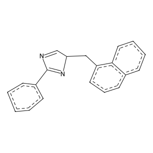 C1=NC(c2ccccc2)=NC1Cc1cccc2ccccc12